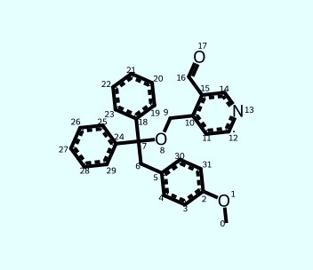 COc1ccc(CC(OCc2c[c]ncc2C=O)(c2ccccc2)c2ccccc2)cc1